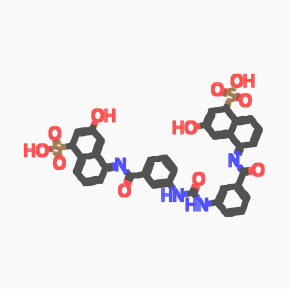 O=C(Nc1cccc(C(=O)N=C2C=CC=C3C2=CC(O)=CC3S(=O)(=O)O)c1)Nc1cccc(C(=O)N=C2C=CC=C3C2=CC(O)=CC3S(=O)(=O)O)c1